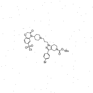 CCS(=O)(=O)c1ccc2c(c1)N(C1CCN(CCCn3nc(-c4ccc(Br)cc4)c4c3CCN(C(=O)OC(C)(C)C)C4)CC1)C(=O)CO2